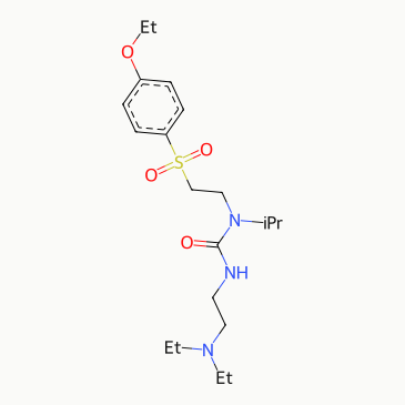 CCOc1ccc(S(=O)(=O)CCN(C(=O)NCCN(CC)CC)C(C)C)cc1